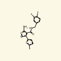 Cc1ccc(-c2noc(N)c2C(=O)NCc2ccc(F)c(F)c2)s1